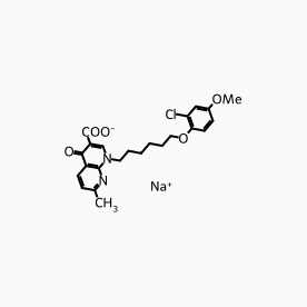 COc1ccc(OCCCCCCn2cc(C(=O)[O-])c(=O)c3ccc(C)nc32)c(Cl)c1.[Na+]